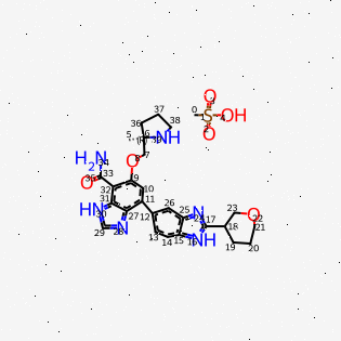 CS(=O)(=O)O.C[C@]1(COc2cc(-c3ccc4[nH]c(C5CCCOC5)nc4c3)c3nc[nH]c3c2C(N)=O)CCCN1